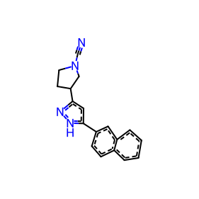 N#CN1CCC(c2cc(-c3ccc4ccccc4c3)[nH]n2)C1